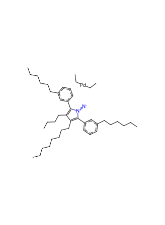 CCCCCCCCC1=C(c2cccc(CCCCCC)c2)[N+](=[N-])C(c2cccc(CCCCCC)c2)=C1CCCC.C[CH2][Pd][CH2]C